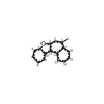 Cc1cc2oc3ccccc3c2c2ccccc12